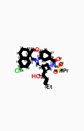 CC/C=C/[C@H](O)[C@@H]1CC[C@H]1CN1C[C@@]2(CCCc3cc(Cl)ccc32)COc2ccc(C(=O)NS(=O)(=O)C(C)C)cc21